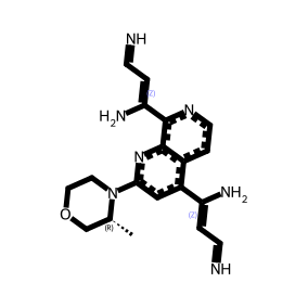 C[C@@H]1COCCN1c1cc(/C(N)=C/C=N)c2ccnc(/C(N)=C/C=N)c2n1